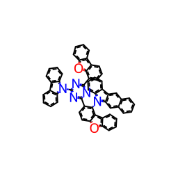 c1ccc2cc3c(cc2c1)c1ccccc1n3-c1c(-c2nc(-c3cccc4c3oc3ccccc34)nc(-n3c4ccccc4c4ccccc43)n2)ccc2oc3ccccc3c12